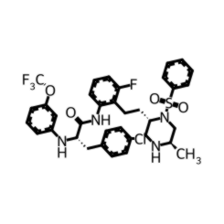 C[C@@H]1CN(S(=O)(=O)c2ccccc2)[C@@H](CCc2c(F)cccc2NC(=O)[C@H](Cc2ccc(Cl)cc2)Nc2cccc(OC(F)(F)F)c2)CN1